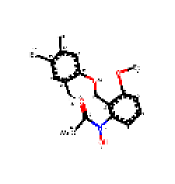 CCOc1cccc(N(O)C(=O)OC)c1COc1cc(C)c(CC)cc1CC